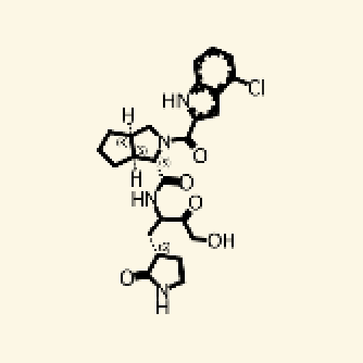 O=C(CO)C(C[C@@H]1CCNC1=O)NC(=O)[C@@H]1[C@H]2CCC[C@H]2CN1C(=O)c1cc2c(Cl)cccc2[nH]1